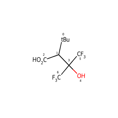 CC(C)(C)C(C(=O)O)C(O)(C(F)(F)F)C(F)(F)F